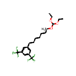 CCOC(OCC)O[SiH2]CCCCCCc1cc(C(F)(F)F)cc(C(F)(F)F)c1